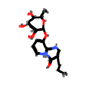 CCCc1cnc2c(O[C@@H]3OC(C)C(O)[C@@H](O)C3O)cccn2c1=O